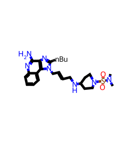 CCCCc1nc2c(N)nc3ccccc3c2n1C/C=C/CNC1CCN(S(=O)(=O)N(C)C)CC1